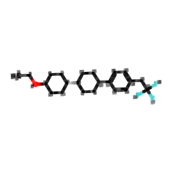 CCO[C@H]1CC[C@H](C2CCC(c3ccc(CC(F)(F)F)cc3)CC2)CC1